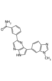 Cn1cnc2ccc(-c3c[nH]c4ncc(-c5cccc(C(N)=O)c5)nc34)cc21